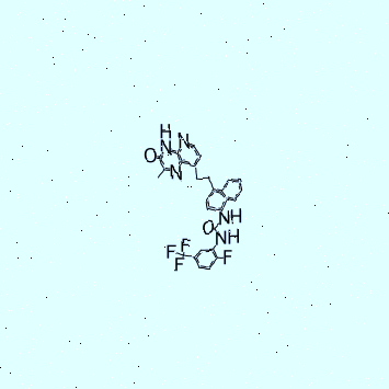 Cc1nc2c(CCc3ccc(NC(=O)Nc4cc(C(F)(F)F)ccc4F)c4ccccc34)ccnc2[nH]c1=O